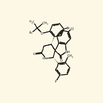 CC(=O)C(C)(C)Oc1ccc(Br)cc1[C@H]1CC(=O)N[C@@H](c2cc(F)ccc2C)C12C(=O)Nc1cc(Cl)ccc12